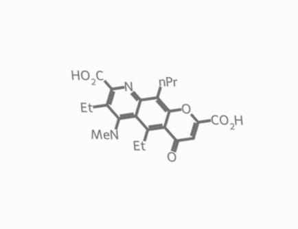 CCCc1c2nc(C(=O)O)c(CC)c(NC)c2c(CC)c2c(=O)cc(C(=O)O)oc12